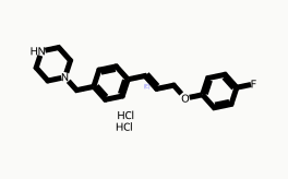 Cl.Cl.Fc1ccc(OC/C=C/c2ccc(CN3CCNCC3)cc2)cc1